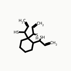 C=CC(S)C1CCCCC1(C(S)C=C)C(S)C=C